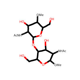 COC1OC(CO)C(OC2OC(CO)C(OC)C(O)C2NC(C)=O)C(O)C1NC(C)=O